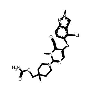 CN1C(=C=O)C(Sc2ccc3nn(C)cc3c2Cl)=CN=C1N1CCC(C)(COC(N)=O)CC1